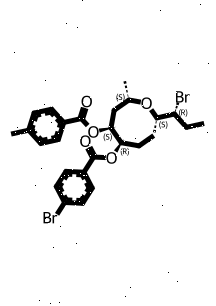 CC[C@@H](Br)[C@@H]1CC[C@@H](OC(=O)c2ccc(Br)cc2)[C@@H](OC(=O)c2ccc(C)cc2)C[C@H](C)O1